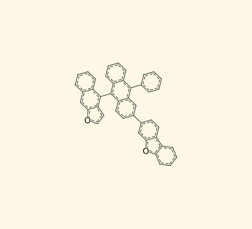 c1ccc(-c2c3ccccc3c(-c3c4ccccc4cc4occc34)c3ccc(-c4ccc5c(c4)oc4ccccc45)cc23)cc1